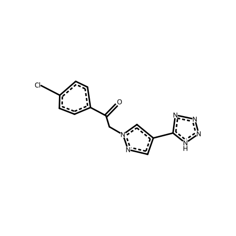 O=C(Cn1cc(-c2nnn[nH]2)cn1)c1ccc(Cl)cc1